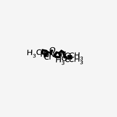 Cc1ccc(C(=O)Nc2ccc3c(c2)CCN3C(=O)OC(C)(C)C)c(Cl)n1